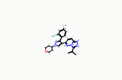 CC(C)c1nnc2ccc(-c3cn(C4CCOCC4)nc3-c3ccc(F)cc3F)nn12